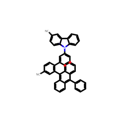 N#Cc1ccc(-c2cccc(-n3c4ccccc4c4cc(C#N)ccc43)c2)c(-c2c3ccccc3c(-c3ccccc3)c3ccccc23)c1